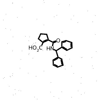 O=C(O)C1=C(C(=O)NC(c2ccccc2)c2ccccc2)CCC1